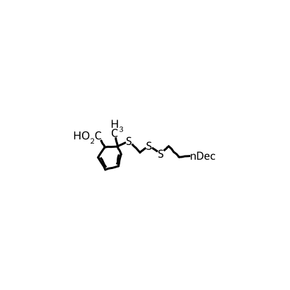 CCCCCCCCCCCCSSCSC1(C)C=CC=CC1C(=O)O